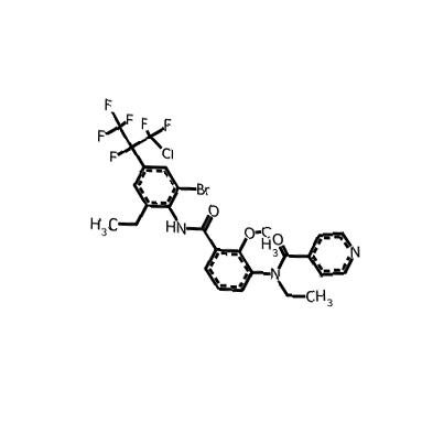 CCc1cc(C(F)(C(F)(F)F)C(F)(F)Cl)cc(Br)c1NC(=O)c1cccc(N(CC)C(=O)c2ccncc2)c1OC